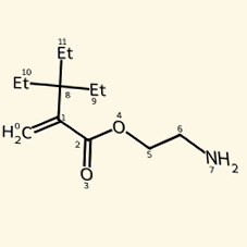 C=C(C(=O)OCCN)C(CC)(CC)CC